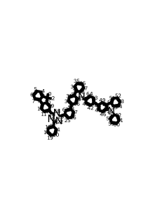 CC1(C)c2ccccc2-c2ccc(-c3nc(-c4ccccc4)nc(-c4cccc(-c5ccc6c7ccccc7n(-c7ccc(-c8ccc9c(c8)c8ccccc8n9-c8ccccc8)cc7)c6c5)c4)n3)cc21